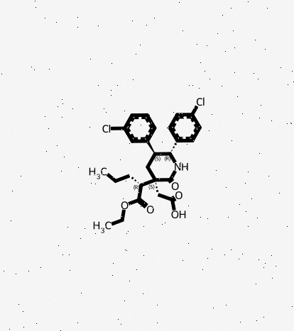 CCC[C@@H](C(=O)OCC)[C@@]1(CC(=O)O)C[C@@H](c2cccc(Cl)c2)[C@H](c2ccc(Cl)cc2)NC1=O